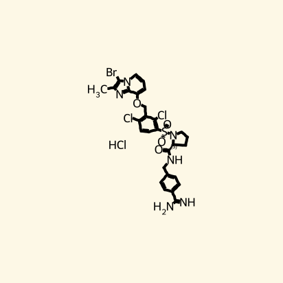 Cc1nc2c(OCc3c(Cl)ccc(S(=O)(=O)N4CCC[C@H]4C(=O)NCc4ccc(C(=N)N)cc4)c3Cl)cccn2c1Br.Cl